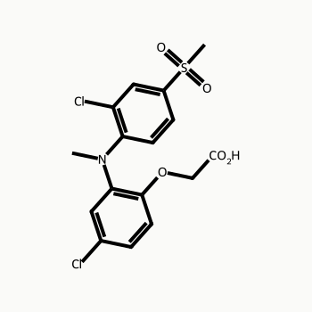 CN(c1ccc(S(C)(=O)=O)cc1Cl)c1cc(Cl)ccc1OCC(=O)O